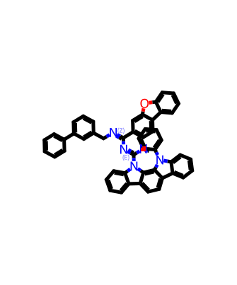 C=N/C(=N\C(=N/Cc1cccc(-c2ccccc2)c1)c1ccc2c(c1)oc1ccccc12)n1c2ccccc2c2ccc3c4ccccc4n(-c4ccccc4)c3c21